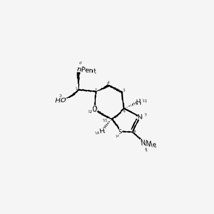 CCCCC[C@H](O)[C@H]1CC[C@H]2N=C(NC)S[C@H]2O1